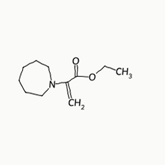 C=C(C(=O)OCC)N1CCCCCC1